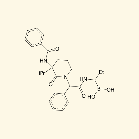 CCC(NC(=O)C(c1ccccc1)N1CCCC(NC(=O)c2ccccc2)(C(C)C)C1=O)B(O)O